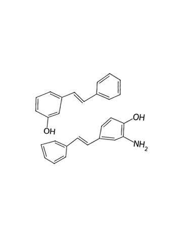 Nc1cc(C=Cc2ccccc2)ccc1O.Oc1cccc(C=Cc2ccccc2)c1